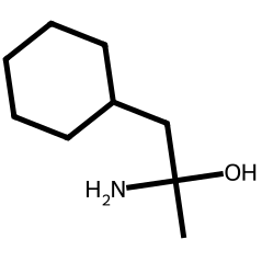 CC(N)(O)CC1CCCCC1